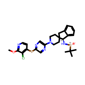 COc1nccc(Sc2cnc(N3CCC4(CC3)Cc3ccccc3[C@H]4N[S@+]([O-])C(C)(C)C)cn2)c1Cl